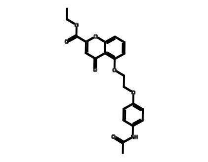 CCOC(=O)c1cc(=O)c2c(OCCOc3ccc(NC(C)=O)cc3)cccc2o1